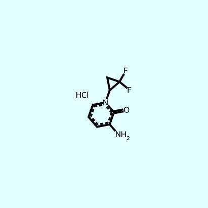 Cl.Nc1cccn(C2CC2(F)F)c1=O